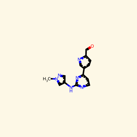 Cn1cc(Nc2nccc(-c3ccc(C=O)nc3)n2)cn1